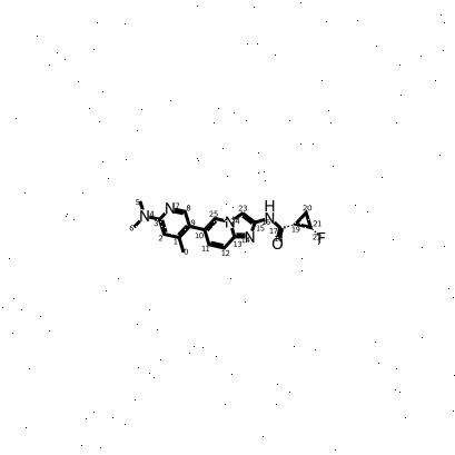 Cc1cc(N(C)C)ncc1-c1ccc2nc(NC(=O)[C@@H]3C[C@@H]3F)cn2c1